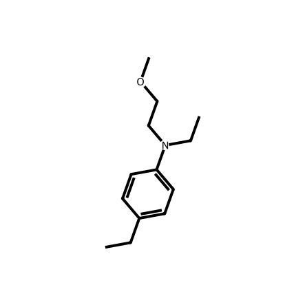 CCc1ccc(N(CC)CCOC)cc1